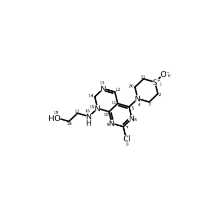 [O-][S+]1CCN(c2nc(Cl)nc3c2C=NCN3NCCO)CC1